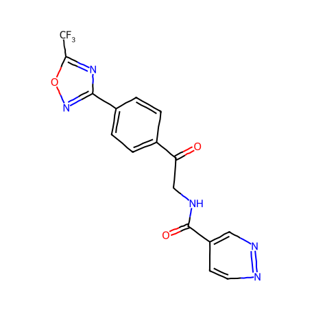 O=C(CNC(=O)c1ccnnc1)c1ccc(-c2noc(C(F)(F)F)n2)cc1